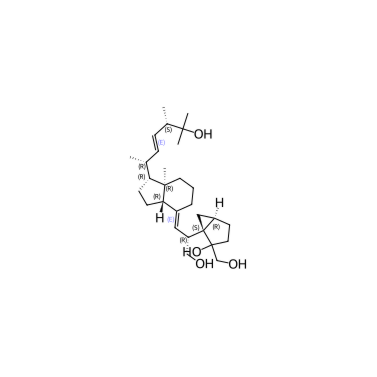 C[C@H](/C=C/[C@H](C)C(C)(C)O)[C@H]1CC[C@H]2/C(=C/[C@@H](CO)[C@]34C[C@H]3CCC4(O)CO)CCC[C@]12C